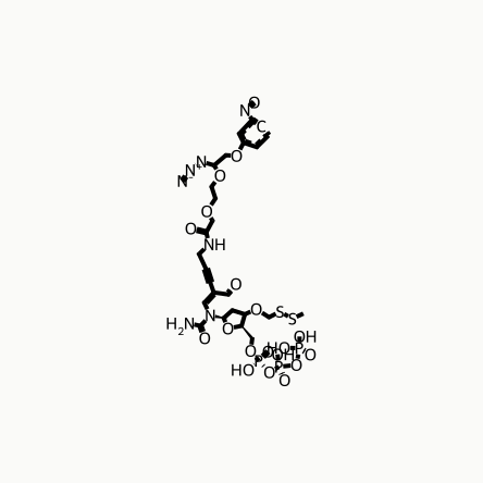 CSSCOC1C[C@H](N(/C=C(/C#CCNC(=O)COCCOC(COc2cccc(N=O)c2)N=[N+]=[N-])C=O)C(N)=O)O[C@@H]1COP(=O)(O)OP(=O)(O)OP(=O)(O)O